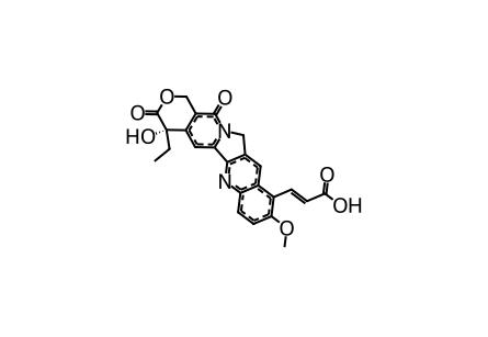 CC[C@@]1(O)C(=O)OCc2c1cc1n(c2=O)Cc2cc3c(C=CC(=O)O)c(OC)ccc3nc2-1